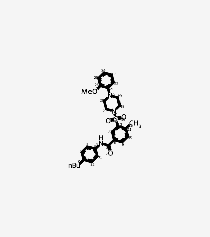 CCCCc1ccc(NC(=O)c2ccc(C)c(S(=O)(=O)N3CCN(c4ccccc4OC)CC3)c2)cc1